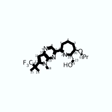 CC(C)O[C@@H]1CCCC(c2cnc3cc(C(C)(C)C(F)(F)F)n(C)c3n2)=N[C@H]1CO